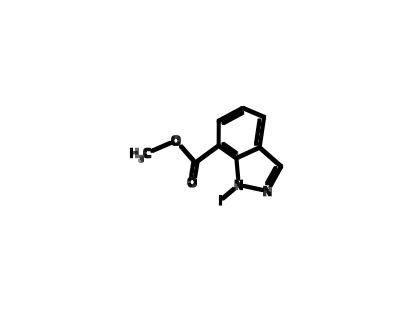 COC(=O)c1cccc2cnn(I)c12